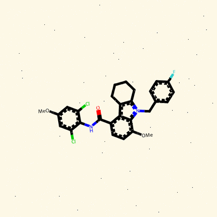 COc1cc(Cl)c(NC(=O)c2ccc(OC)c3c2c2c(n3Cc3ccc(F)cc3)CCCC2)c(Cl)c1